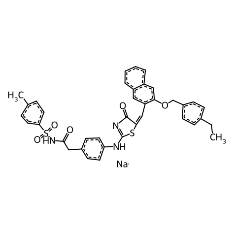 CCc1ccc(COc2cc3ccccc3cc2C=C2SC(Nc3ccc(CC(=O)NS(=O)(=O)c4ccc(C)cc4)cc3)=NC2=O)cc1.[Na]